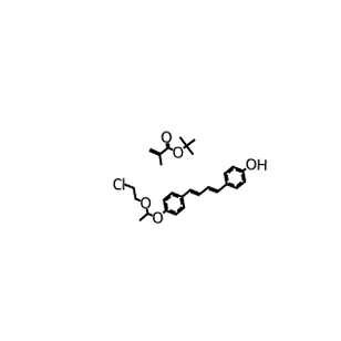 C=C(C)C(=O)OC(C)(C)C.CC(OCCCl)Oc1ccc(C=CC=Cc2ccc(O)cc2)cc1